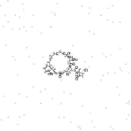 CC[C@@H]1CC(=O)[C@]1(C)NC(=O)[C@@H]1C[C@@H]2CN1C(=O)[C@H](C(C)(C)C)NC(=O)OCCCCCCc1cccc3[nH]c(cc13)C(=O)O2